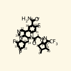 CC1Cc2c(c(C(F)(F)F)nn2CC(=O)N[C@@H](Cc2cc(F)cc(F)c2)c2ncncc2-c2ccc(F)c(C(N)=O)c2)C1C